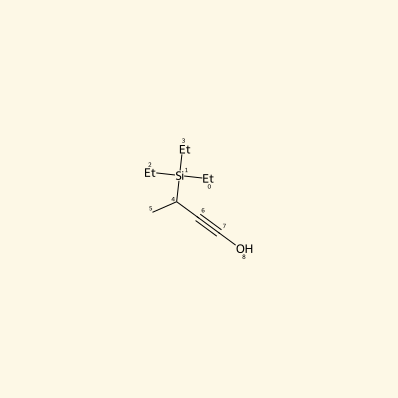 CC[Si](CC)(CC)C(C)C#CO